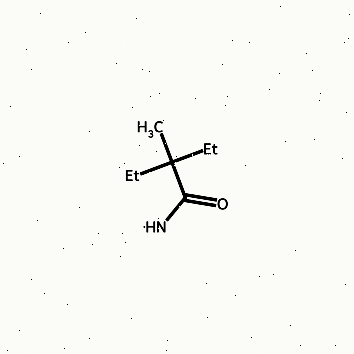 CCC(C)(CC)C([NH])=O